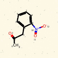 CC(=O)Cc1ccccc1[N+](=O)[O-]